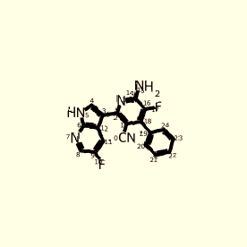 N#Cc1c(-c2c[nH]c3ncc(F)cc23)nc(N)c(F)c1-c1ccccc1